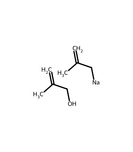 C=C(C)CO.C=C(C)[CH2][Na]